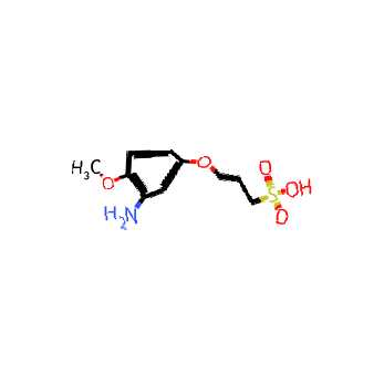 COc1ccc(OCCCS(=O)(=O)O)cc1N